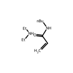 C=CC(=O)NCCCC.CCNCC